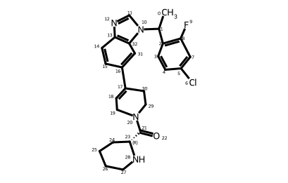 CC(c1ccc(Cl)cc1F)n1cnc2ccc(C3=CCN(C(=O)[C@H]4CCCCN4)CC3)cc21